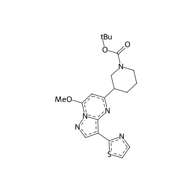 COc1cc(C2CCCN(C(=O)OC(C)(C)C)C2)nc2c(-c3nccs3)cnn12